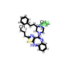 CCCCc1nc2c(s1)Nc1ccccc1N=C2N1CCN(C)C(CCc2ccccc2)C1.Cl.Cl